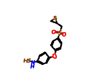 O=S(=O)(CC1CS1)c1ccc(Oc2ccc(NS)cc2)cc1